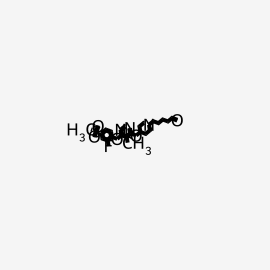 Cc1c(Oc2ccc(S(C)(=O)=O)cc2F)ncnc1OC1CCN(CCCCC=O)CC1